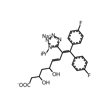 CC(C)n1nnnc1C(C=CC(O)CC(O)CC(=O)[O-])=C(c1ccc(F)cc1)c1ccc(F)cc1.[Na+]